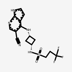 N#Cc1cnc2[nH]ccc2c1N[C@H]1C[C@@H](NS(=O)(=O)CCC(F)(F)F)C1